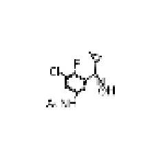 CC(=O)Nc1cc(Cl)c(F)c(/C(=N\O)C2CC2)c1